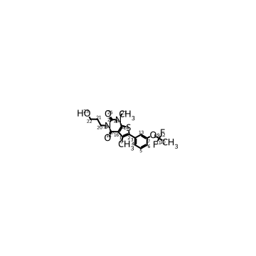 Cc1c(-c2cccc(OC(C)(F)F)c2)sc2c1c(=O)n(CCCO)c(=O)n2C